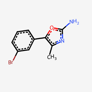 Cc1nc(N)oc1-c1cccc(Br)c1